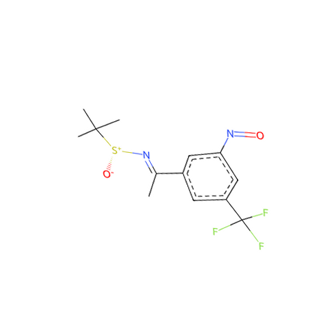 C/C(=N\[S@+]([O-])C(C)(C)C)c1cc(N=O)cc(C(F)(F)F)c1